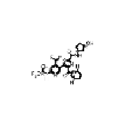 C[C@H](Nc1cc(C(F)F)c(-c2sc(C(=O)N[C@H]3CC[C@H](O)C3)nc2C(=O)N2[C@H]3CC[C@H]2CC3)cn1)C(F)(F)F